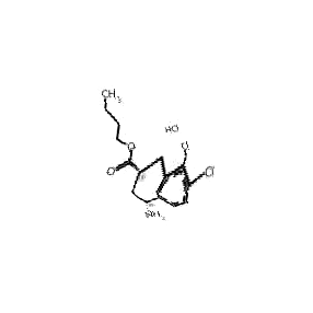 CCCCOC(=O)[C@H]1Cc2c(ccc(Cl)c2Cl)[C@H](N)C1.Cl